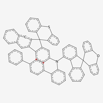 c1ccc(-c2ccc(-c3ccccc3N(c3ccc4c(c3)C3(c5ccccc5Sc5ccccc53)c3cc5ccccc5cc3-4)c3cccc4c3-c3ccccc3C43c4ccccc4Oc4ccccc43)cc2)cc1